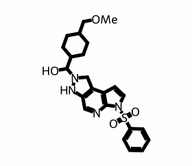 COCC1CCC(C(O)N2Cc3c(cnc4c3ccn4S(=O)(=O)c3ccccc3)N2)CC1